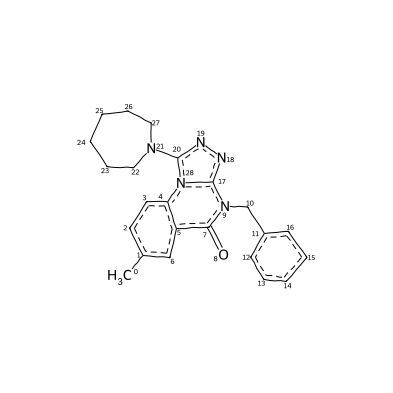 Cc1ccc2c(c1)c(=O)n(Cc1ccccc1)c1nnc(N3CCCCCC3)n21